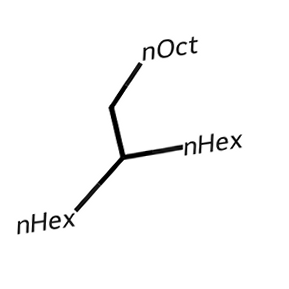 [CH2]CCCCCC(CCCCCC)CCCCCCCCC